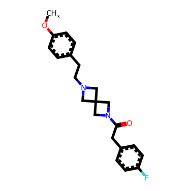 COc1ccc(CCN2CC3(C2)CN(C(=O)Cc2ccc(F)cc2)C3)cc1